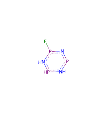 Fp1np[nH][pH][nH]1